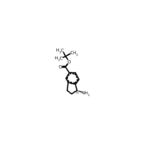 CC(C)(C)OC(=O)c1ccc2c(c1)CC[C@@H]2N